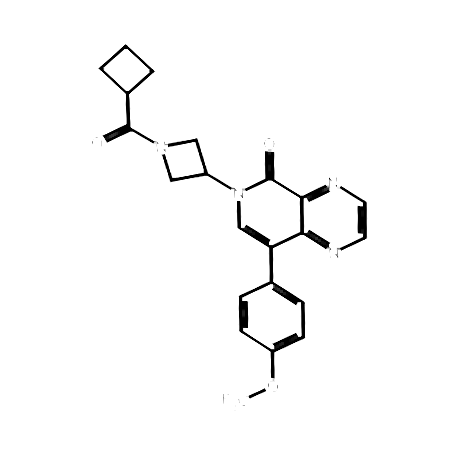 O=C(C1CCC1)N1CC(n2cc(-c3ccc(OC(F)(F)F)cc3)c3nccnc3c2=O)C1